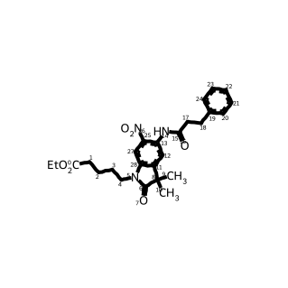 CCOC(=O)CCCCN1C(=O)C(C)(C)c2cc(NC(=O)CCc3ccccc3)c([N+](=O)[O-])cc21